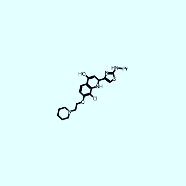 CC(C)Nc1nc(C2C=C(O)c3ccc(OCCN4CCCCC4)c(Cl)c3N2)cs1